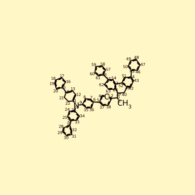 CC(c1ccc(-c2ccc(N(C3=CC=C(c4ccccc4)CC3)c3ccc(-c4ccccc4)cc3)cc2)cc1)C1Cc2ccc(-c3ccccc3)cc2-c2cc(-c3ccccc3)ccc21